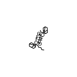 CCCCCC1(OC(=O)C(F)(F)C(F)(F)C(=O)OC2(CC)C3CC4CC(C3)CC2C4)C2CC3CC(C2)CC1C3